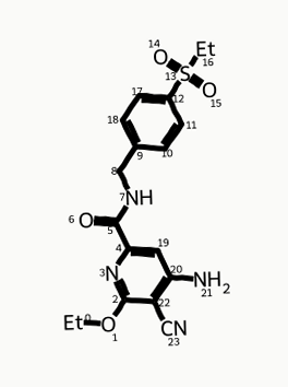 CCOc1nc(C(=O)NCc2ccc(S(=O)(=O)CC)cc2)cc(N)c1C#N